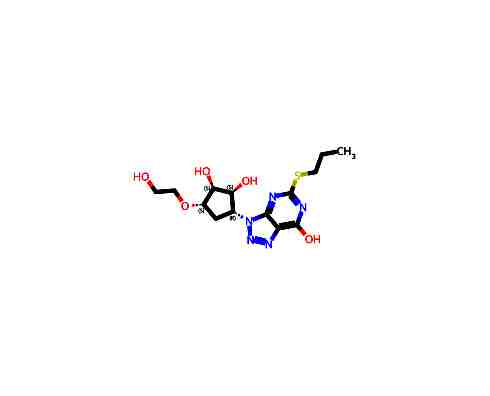 CCCSc1nc(O)c2nnn([C@@H]3C[C@H](OCCO)[C@@H](O)[C@H]3O)c2n1